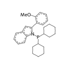 COc1ccccc1-c1cc2ccccc2n1P(C1CCCCC1)C1CCCCC1